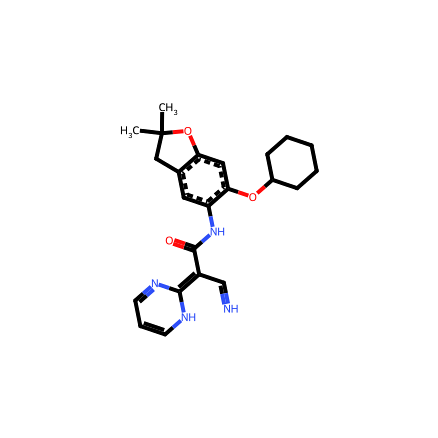 CC1(C)Cc2cc(NC(=O)/C(C=N)=C3\N=CC=CN3)c(OC3CCCCC3)cc2O1